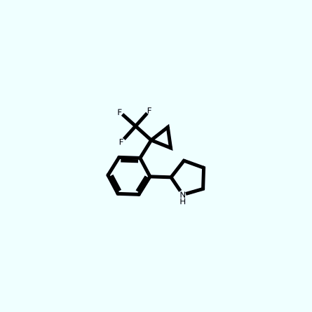 FC(F)(F)C1(c2ccccc2C2CCCN2)CC1